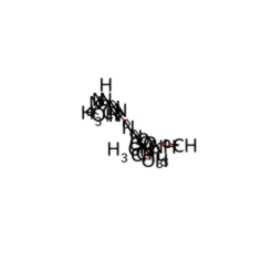 C#Cc1ccc(CNC(=O)[C@@H]2C[C@@H](O)CN2C(=O)[C@@H](OC(=O)N2CCC(N3CCC(c4cnc(N5CCc6[nH]c7nnc(-c8ccccc8O)cc7c6[C@H]5C)nc4)CC3)CC2)C(C)(C)C)cc1